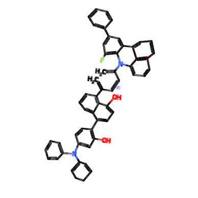 C=C(/C=C\C(=C)N(c1ccccc1)c1c(F)cc(-c2ccccc2)cc1-c1ccccc1)c1cccc2c(-c3ccc(N(C4=CCCC=C4)c4ccccc4)cc3O)ccc(O)c12